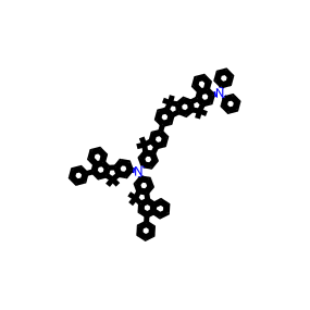 CC1(C)c2cc(-c3ccc4c(c3)-c3cc5c(cc3C4(C)C)-c3c(cc(N(c4ccccc4)c4ccccc4)c4ccccc34)C5(C)C)ccc2-c2ccc(N(c3ccc4c(c3)C(C)(C)c3cc(-c5ccccc5)c5ccccc5c3-4)c3ccc4c(c3)C(C)(C)c3cc(-c5ccccc5)c5ccccc5c3-4)cc21